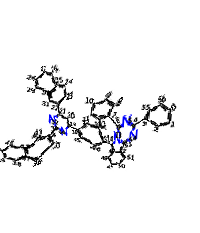 c1ccc(-c2nc(-c3ccccc3)n3c(-c4ccc(-c5cc(-c6ccc7ccccc7c6)nc(-c6ccc7ccccc7c6)n5)cc4)c4ccccc4c3n2)cc1